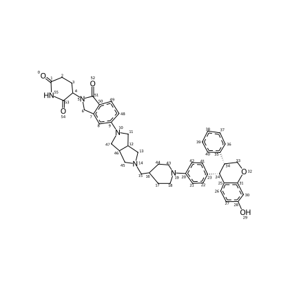 O=C1CCC(N2Cc3cc(N4CC5CN(CC6CCN(c7ccc([C@H]8c9ccc(O)cc9OC[C@H]8c8ccccc8)cc7)CC6)CC5C4)ccc3C2=O)C(=O)N1